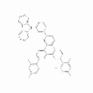 Cc1cc(C)c(-c2ccc3c(c2)c2cc(-c4c(C)cc(C)cc4C)ccc2c2nc(-c4cccc(-n5c6ccccc6c6ccccc65)c4)ccc32)c(C)c1